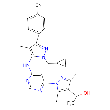 Cc1nn(-c2cc(Nc3c(C)c(-c4ccc(C#N)cc4)nn3CC3CC3)ncn2)c(C)c1C(O)C(F)(F)F